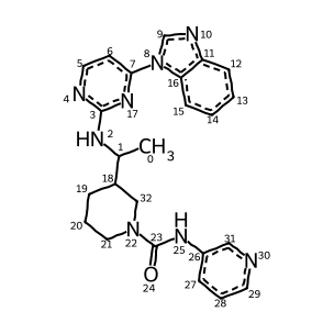 CC(Nc1nccc(-n2cnc3ccccc32)n1)C1CCCN(C(=O)Nc2cccnc2)C1